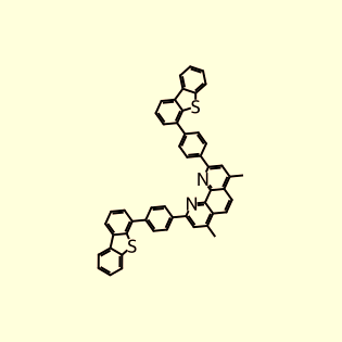 Cc1cc(-c2ccc(-c3cccc4c3sc3ccccc34)cc2)nc2c1ccc1c(C)cc(-c3ccc(-c4cccc5c4sc4ccccc45)cc3)nc12